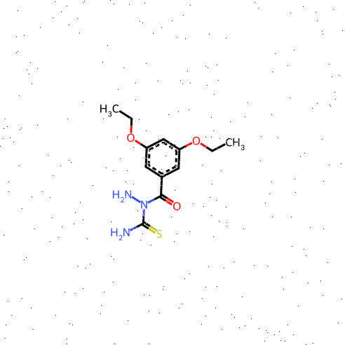 CCOc1cc(OCC)cc(C(=O)N(N)C(N)=S)c1